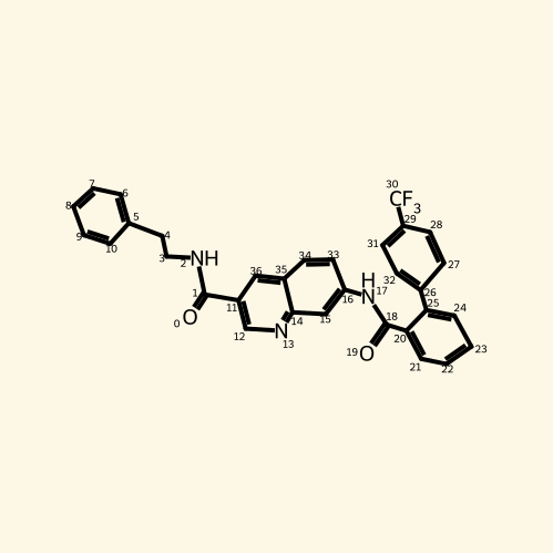 O=C(NCCc1ccccc1)c1cnc2cc(NC(=O)c3ccccc3-c3ccc(C(F)(F)F)cc3)ccc2c1